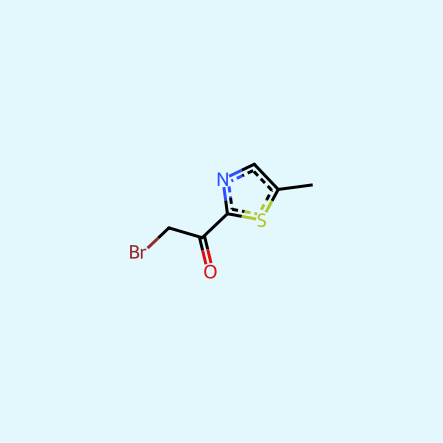 Cc1cnc(C(=O)CBr)s1